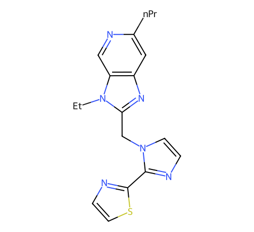 CCCc1cc2nc(Cn3ccnc3-c3nccs3)n(CC)c2cn1